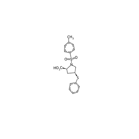 Cc1ccc(S(=O)(=O)N2C[C@@H](Sc3ccccc3)C[C@H]2C(=O)O)cc1